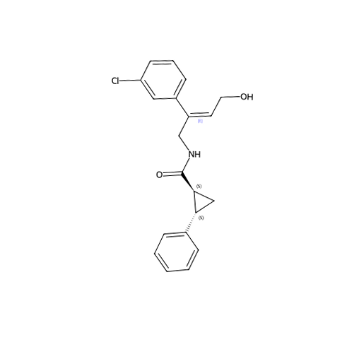 O=C(NC/C(=C/CO)c1cccc(Cl)c1)[C@H]1C[C@@H]1c1ccccc1